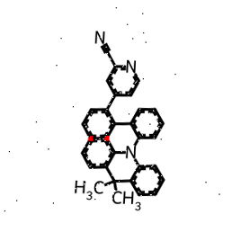 CC1(C)c2ccccc2N(c2ccccc2-c2ccccc2-c2ccnc(C#N)c2)c2ccccc21